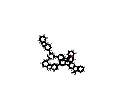 CC1(C)c2ccccc2-c2cc3c(cc21)c1cc(-c2ccc4oc5cccc(-c6nc(-c7ccc(-c8ccccc8)cc7)nc(-c7ccc8c(c7)oc7ccccc78)n6)c5c4c2)ccc1n3-c1ccccc1